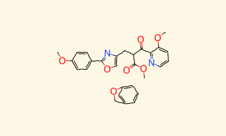 COC(=O)C(Cc1coc(-c2ccc(OC)cc2)n1)C(=O)c1ncccc1OC.c1cc2cc(c1)OC2